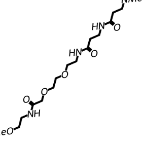 CNCCC(=O)NCCC(=O)NCCOCCOCC(=O)NCCOC